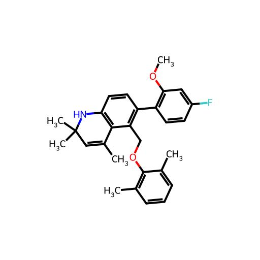 COc1cc(F)ccc1-c1ccc2c(c1COc1c(C)cccc1C)C(C)=CC(C)(C)N2